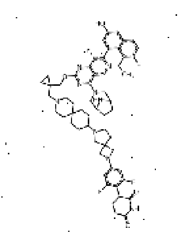 CCc1c(F)ccc2cc(O)cc(-c3ncc4c(N5CC6CCC(C5)N6)nc(OCC5(CN6CCC7(CCC(N8CCC9(CN(c%10cc(F)c(C%11CCC(=O)NC%11=O)c(F)c%10)C9)C8)CC7)CC6)CC5)nc4c3F)c12